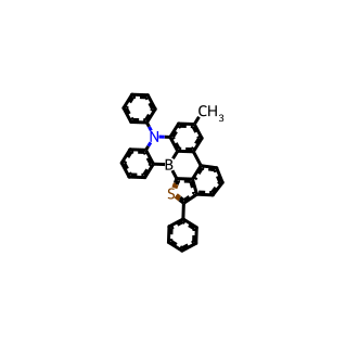 Cc1cc2c3c(c1)N(c1ccccc1)c1ccccc1B3c1sc(-c3ccccc3)c3cccc-2c13